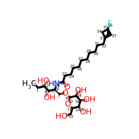 CC[C@@H](O)[C@@H](O)[C@H](COC1OC(CO)C(O)C(O)C1O)NC(=O)CCCCCCCCCCC12CC(F)(C1)C2